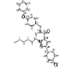 CCCCCC1CN(Cc2ccc(Oc3ccccc3)cc2)C(=O)c2cc(-c3ccc(Cl)cc3)nn21